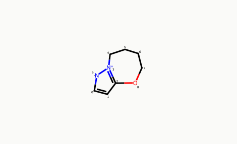 C1=CC2=[N+](CCCCO2)[N]1